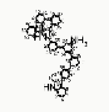 CCC1Nc2ccccc2N1c1ccc(-c2cccc(-c3cc(N)cc(-c4cccc(C5N=C(c6ccccc6-c6ccccc6)NC(c6ccccc6)N5)c4)c3)c2)cc1